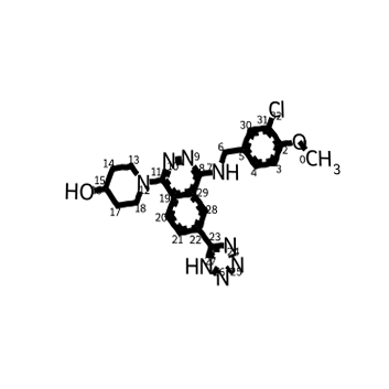 COc1ccc(CNc2nnc(N3CCC(O)CC3)c3ccc(-c4nnn[nH]4)cc23)cc1Cl